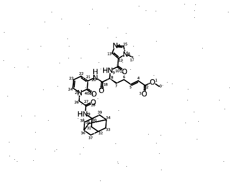 COC(=O)/C=C/CC[C@H](NC(=O)c1cncn1C)C(=O)Nc1cccn(CC(=O)NC23CC4CC(CC(C4)C2)C3)c1=O